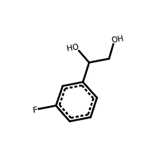 OCC(O)c1cccc(F)c1